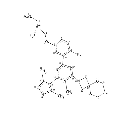 CNC[C@@H](O)COc1ccc(F)c(-c2nc(-c3c(C)noc3C)c(C)c(N3CC4(CCCCO4)C3)n2)c1